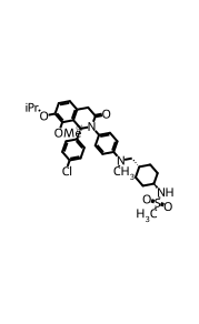 COc1c(OC(C)C)ccc2c1[C@H](c1ccc(Cl)cc1)N(c1ccc(N(C)C[C@H]3CC[C@H](NS(C)(=O)=O)CC3)cc1)C(=O)C2